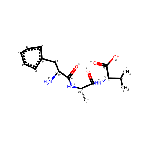 CC(C)[C@H](NC(=O)[C@H](C)NC(=O)[C@@H](N)Cc1ccccc1)C(=O)O